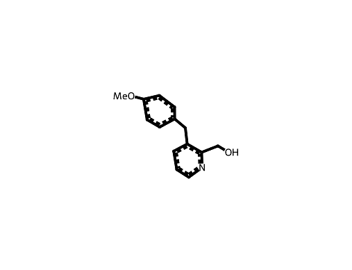 COc1ccc(Cc2cccnc2CO)cc1